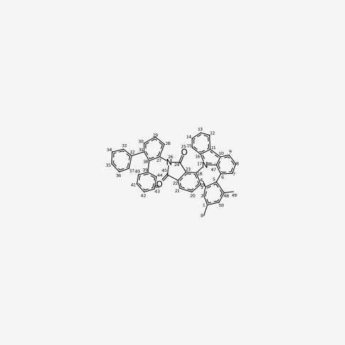 Cc1cc(C)c(-c2cccc3c4ccccc4n(-c4cccc5c4C(=O)N(c4cccc(-c6ccccc6)c4-c4ccccc4)C5=O)c23)c(C)c1